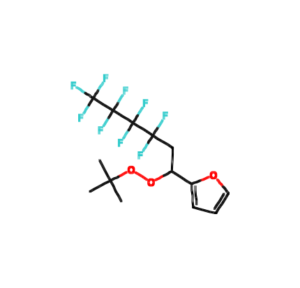 CC(C)(C)OOC(CC(F)(F)C(F)(F)C(F)(F)C(F)(F)F)c1ccco1